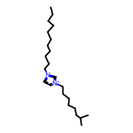 CCCCCCCCCCCn1cc[n+](CCCCCCC(C)C)c1